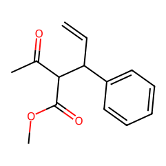 C=CC(c1ccccc1)C(C(C)=O)C(=O)OC